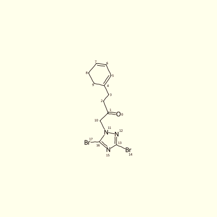 O=C(CCC1=CC=CCC1)Cn1nc(Br)nc1Br